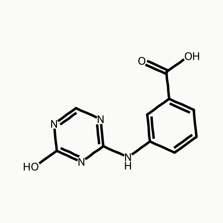 O=C(O)c1cccc(Nc2ncnc(O)n2)c1